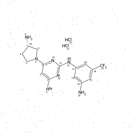 CCCc1cc(N2CC[C@H](N)C2)nc(Nc2cc(N)cc(C(F)(F)F)c2)n1.Cl.Cl